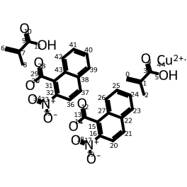 C=C(C)C(=O)O.C=C(C)C(=O)O.O=C([O-])c1c([N+](=O)[O-])ccc2ccccc12.O=C([O-])c1c([N+](=O)[O-])ccc2ccccc12.[Cu+2]